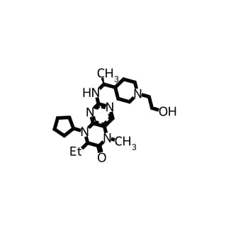 CCC1C(=O)N(C)c2cnc(N[C@@H](C)C3CCN(CCO)CC3)nc2N1C1CCCC1